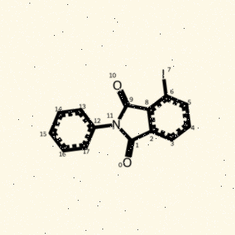 O=C1c2cccc(I)c2C(=O)N1c1ccccc1